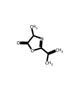 C=C(C)C1=NC(C)C(=O)O1